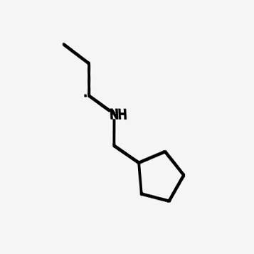 CC[CH]NCC1CCCC1